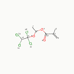 C=C(C)C(=O)OC(C)OC(Cl)(Cl)C(Cl)Cl